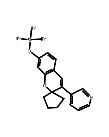 CC(C)[Si](Oc1ccc2c(c1)OC1(CCCC1)C(c1cccnc1)=C2)(C(C)C)C(C)C